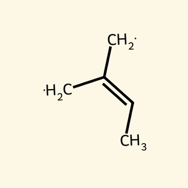 [CH2]C([CH2])=CC